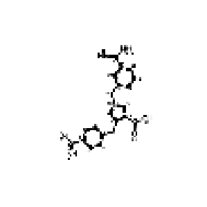 N=C(N)c1ccc(Cc2cn(Cc3cccc(C(=N)N)c3)cc2C(=O)O)cc1